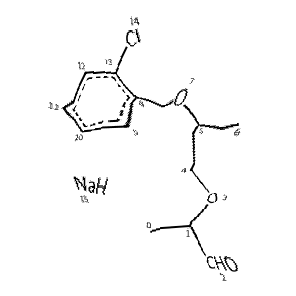 CC(C=O)OCC(C)Oc1ccccc1Cl.[NaH]